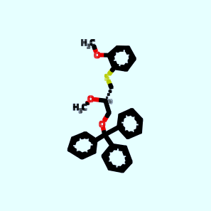 COc1ccccc1SC[C@H](COC(c1ccccc1)(c1ccccc1)c1ccccc1)OC